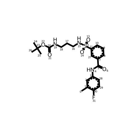 Cc1cc(NC(=O)c2cccc(S(=O)(=O)NCCCNC(=O)OC(C)(C)C)c2)ccc1F